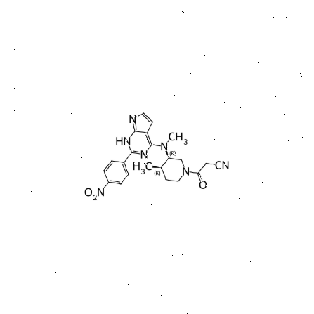 C[C@@H]1CCN(C(=O)CC#N)C[C@@H]1N(C)c1nc(-c2ccc([N+](=O)[O-])cc2)[nH]c2nccc1-2